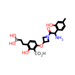 Cc1ccc(C(N)C(=O)N2CC(Oc3ccc(CCB(O)O)c(O)c3C(=O)O)C2)c(O)c1